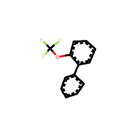 FC(F)(F)Oc1ccccc1-c1ccccc1